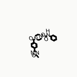 Cc1nc(-c2ccc(C(=O)N3CCN(OC(=O)Nc4ccccc4)CC3)cc2)no1